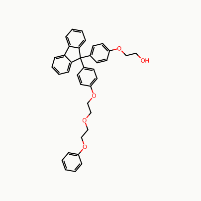 OCCOc1ccc(C2(c3ccc(OCCOCCOc4ccccc4)cc3)c3ccccc3-c3ccccc32)cc1